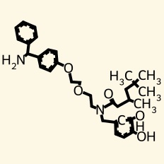 CC(CC(=O)N(CCOCCOc1ccc(C(N)c2ccccc2)cc1)Cc1ccc(O)c(O)c1)CC(C)(C)C